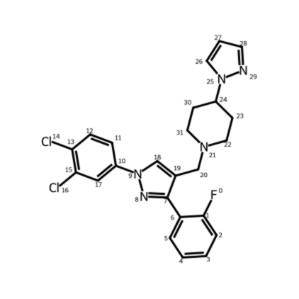 Fc1ccccc1-c1nn(-c2ccc(Cl)c(Cl)c2)cc1CN1CCC(n2cccn2)CC1